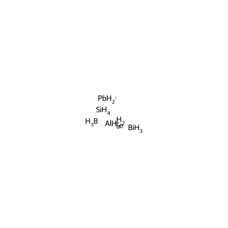 B.[AlH3].[BiH3].[PbH2].[SiH4].[TeH2]